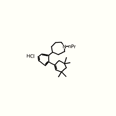 CCCN1CCCC(c2ccccc2C2=CC(C)(C)CC(C)(C)C2)CC1.Cl